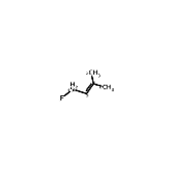 CC(C)=C[SiH2]F